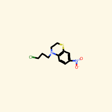 O=[N+]([O-])c1ccc2c(c1)SCCN2CCCCl